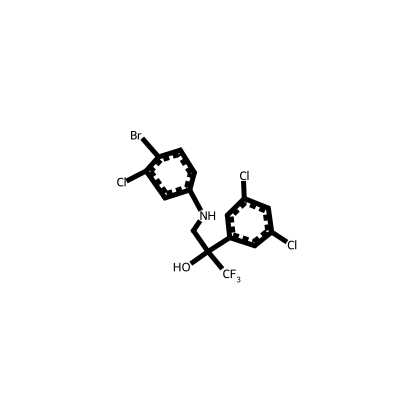 OC(CNc1ccc(Br)c(Cl)c1)(c1cc(Cl)cc(Cl)c1)C(F)(F)F